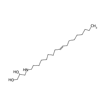 CCCCCCCCC=CCCCCCCCCNCC(O)CO